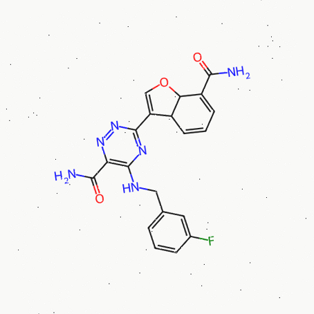 NC(=O)C1=CC=CC2C(c3nnc(C(N)=O)c(NCc4cccc(F)c4)n3)=COC12